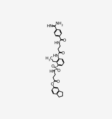 CCc1c(NC(=O)CCNC(=O)c2ccc(C(=N)N)cc2)cccc1S(=O)(=O)NCCC(=O)Oc1ccc2c(c1)CCC2